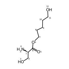 N[C@H](CO)C(=O)OCCCCCO